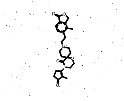 CC1=C(N2CCOC3(CCN(CCc4ccc5c(c4C)COC5=O)CC3)C2=O)CCC1=O